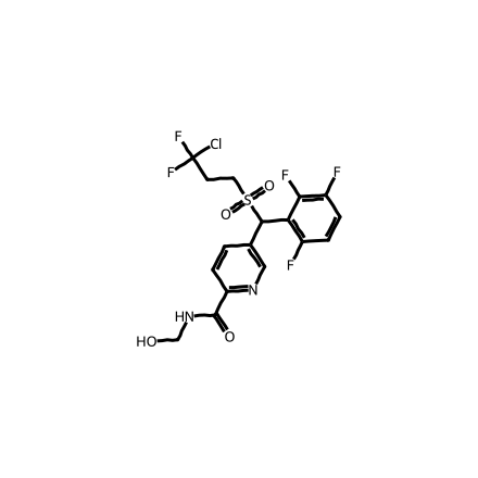 O=C(NCO)c1ccc(C(c2c(F)ccc(F)c2F)S(=O)(=O)CCC(F)(F)Cl)cn1